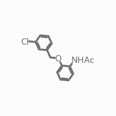 CC(=O)Nc1ccccc1OCc1cccc(Cl)c1